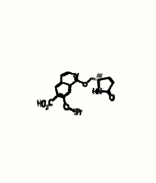 CC(C)Oc1cc2c(OC[C@@H]3CCC(=O)N3)nccc2cc1C(=O)O